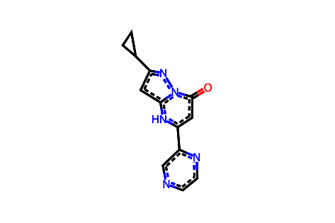 O=c1cc(-c2cnccn2)[nH]c2cc(C3CC3)nn12